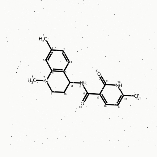 Cc1ccc2c(c1)N(C)CCC2NC(=O)c1ccc(C(F)(F)F)[nH]c1=O